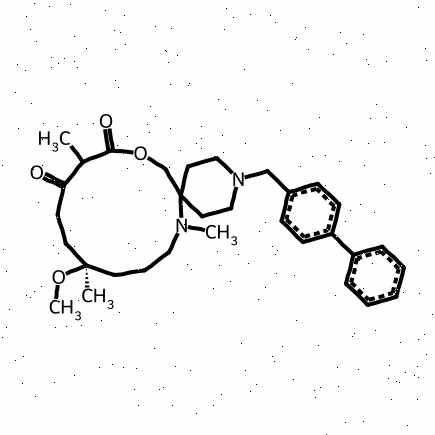 CO[C@]1(C)CCCN(C)C2(CCN(Cc3ccc(-c4ccccc4)cc3)CC2)COC(=O)C(C)C(=O)CC1